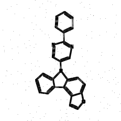 c1ccc(-c2ncc(-n3c4ccccc4c4c5ccoc5ccc43)cn2)cc1